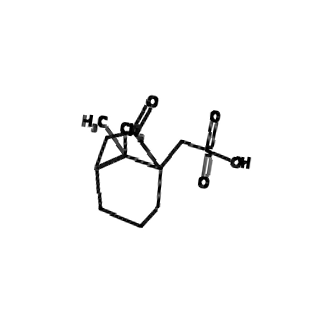 CC1(C)C2CCCC1(CS(=O)(=O)O)C(=O)C2